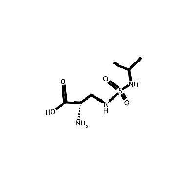 CC(C)NS(=O)(=O)NC[C@H](N)C(=O)O